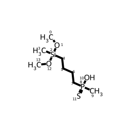 CO[Si](C)(CCCCP(C)(O)=S)OC